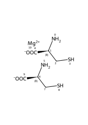 N[C@@H](CS)C(=O)[O-].N[C@@H](CS)C(=O)[O-].[Mg+2]